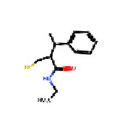 CC(c1ccccc1)C(CS)C(=O)NCC(=O)O